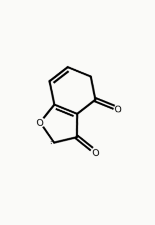 O=C1[C]OC2=C1C(=O)CC=C2